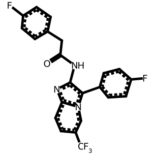 O=C(Cc1ccc(F)cc1)Nc1nc2ccc(C(F)(F)F)cn2c1-c1ccc(F)cc1